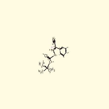 CC(C)(C)OC(=O)O/N=C(/C#N)c1ccccc1